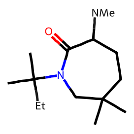 CCC(C)(C)N1CC(C)(C)CCC(NC)C1=O